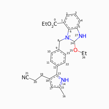 CCOC(=O)c1cccc2c1N(Cc1ccc(-c3[nH]c(C)cc3CCC#N)cc1)C(OCC)N2